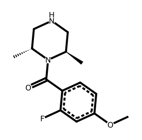 COc1ccc(C(=O)N2[C@H](C)CNC[C@H]2C)c(F)c1